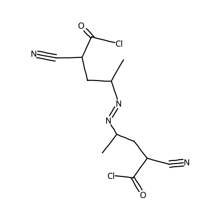 CC(CC(C#N)C(=O)Cl)/N=N/C(C)CC(C#N)C(=O)Cl